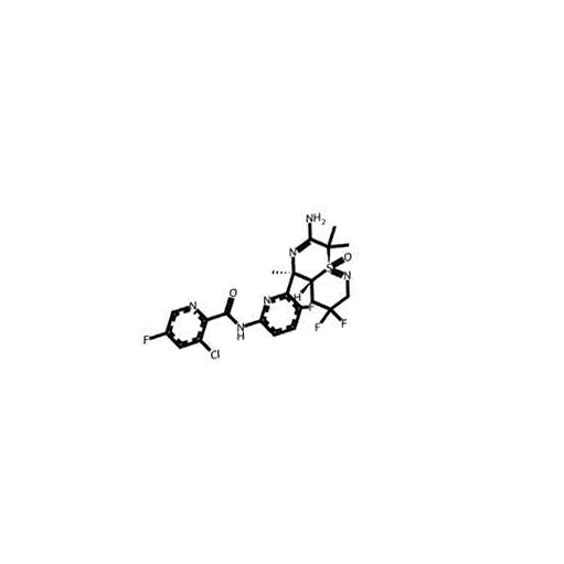 CC1(C)C(N)=N[C@](C)(c2nc(NC(=O)c3ncc(F)cc3Cl)ccc2F)[C@H]2CC(F)(F)CN=[S@@]21=O